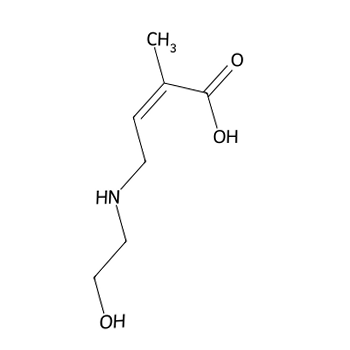 CC(=CCNCCO)C(=O)O